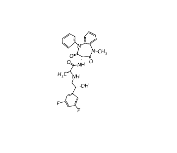 C[C@H](NC[C@H](O)c1cc(F)cc(F)c1)C(=O)N[C@H]1C(=O)N(C)c2ccccc2N(c2ccccc2)C1=O